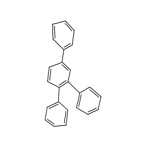 c1ccc(-c2ccc(-c3ccccc3)c(-c3ccccc3)c2)cc1